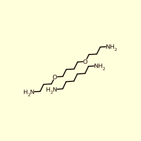 NCCCCCCN.NCCCOCCCCOCCCN